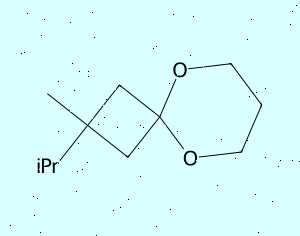 CC(C)C1(C)CC2(C1)OCCCO2